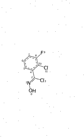 ON=C(Cl)c1cccc(F)c1Cl